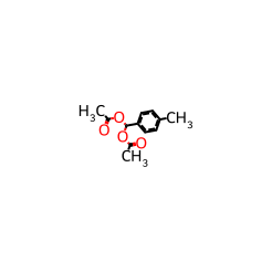 CC(=O)OC(OC(C)=O)c1ccc(C)cc1